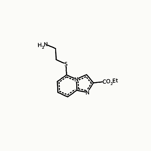 CCOC(=O)c1cn2c(SCCN)cccc2n1